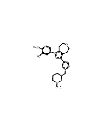 COc1ncc(-n2nc(-c3cnn(CC4CCCN(C=O)C4)c3)c3c2CCOCC3)cc1C#N